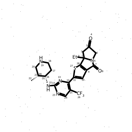 CCC12CC(=O)CN1C(=O)c1cc(-c3nc(N[C@H]4CCNC[C@H]4C)ncc3C(F)(F)F)sc12